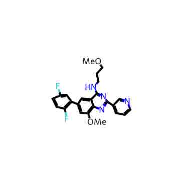 COCCCNc1nc(-c2cccnc2)nc2c(OC)cc(-c3cc(F)ccc3F)cc12